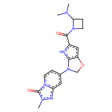 CN(C)C1CCN1C(=O)c1cc2c([nH]1)N(c1ccn3c(=O)n(C)nc3c1)CO2